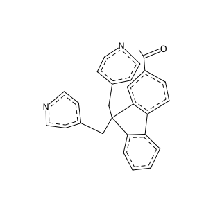 CC(=O)c1ccc2c(c1)C(Cc1ccncc1)(Cc1ccncc1)c1ccccc1-2